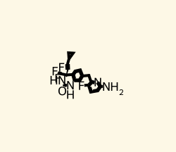 Nc1ccc(F)c(Cc2ccc3c(c2)NC(=O)N[C@]3(C#CC2CC2)C(F)(F)F)n1